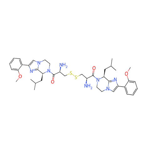 COc1ccccc1-c1cn2c(n1)[C@H](CC(C)C)N(C(=O)[C@@H](N)CSSC[C@H](N)C(=O)N1CCn3cc(-c4ccccc4OC)nc3[C@@H]1CC(C)C)CC2